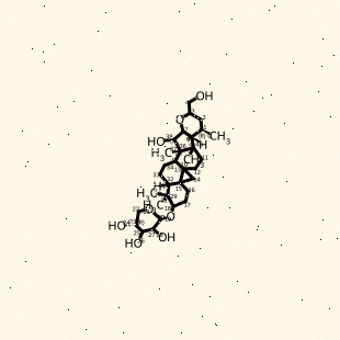 C[C@@H]1CC(CO)OC2[C@H]1C1(C)CCC34CC35CCC(O[C@@H]3OC[C@@H](O)C(O)C3O)C(C)(C)[C@@H]5CCC4[C@]1(C)[C@H]2O